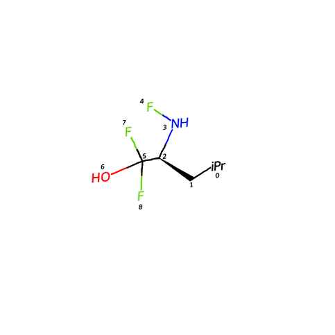 CC(C)C[C@H](NF)C(O)(F)F